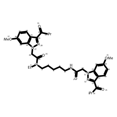 CCN(CCCCCNC(=O)Cn1nc(C(=O)C(C)C)c2ccc(OC)cc21)C(=O)Cn1nc(C(=O)C(C)C)c2ccc(OC)cc21